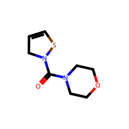 O=C(N1CCOCC1)N1CC=CS1